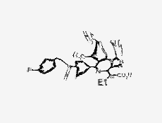 CC[C@H](C(=O)O)C1N=C(c2ccc(NCc3ccc(F)cc3)cc2)c2c(sc(C)c2C)-n2c(C)nnc21